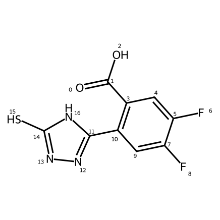 O=C(O)c1cc(F)c(F)cc1-c1nnc(S)[nH]1